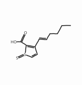 CCCCC=CC1=C(C(=O)O)S(=S)C=C1